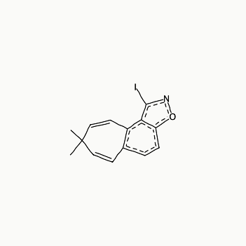 CC1(C)C=Cc2ccc3onc(I)c3c2C=C1